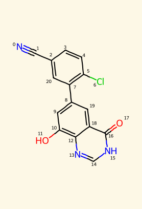 N#Cc1ccc(Cl)c(-c2cc(O)c3nc[nH]c(=O)c3c2)c1